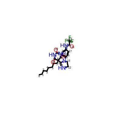 CCCCCCCCC1(C2CNCCN2c2ccc(NC(=O)C(F)(F)F)cc2)C(=O)NC(=O)NC1=O